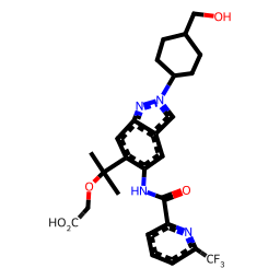 CC(C)(OCC(=O)O)c1cc2nn(C3CCC(CO)CC3)cc2cc1NC(=O)c1cccc(C(F)(F)F)n1